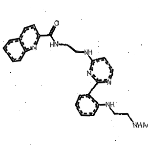 CC(=O)NCCNc1ccccc1-c1nccc(NCCNC(=O)c2ccc3ccccc3n2)n1